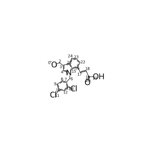 COCc1cn(Cc2ccc(Cl)cc2Cl)c2c(C=CC(=O)O)cccc12